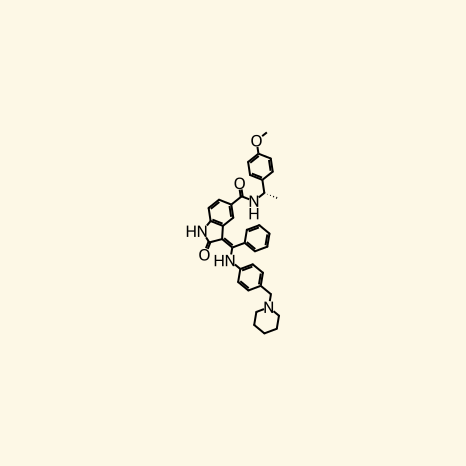 COc1ccc([C@H](C)NC(=O)c2ccc3c(c2)/C(=C(/Nc2ccc(CN4CCCCC4)cc2)c2ccccc2)C(=O)N3)cc1